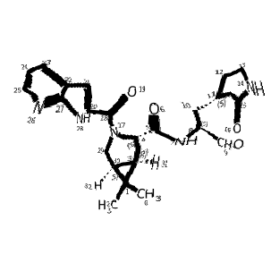 CC1(C)[C@@H]2[C@@H](C(=O)N[C@H](C=O)C[C@@H]3CCNC3=O)N(C(=O)c3cc4cccnc4[nH]3)C[C@@H]21